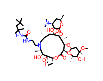 CC[C@H]1OC(=O)[C@H](C)[C@H](O[C@@H]2C[C@@](C)(OC)[C@@H](O)[C@H](C)O2)[C@@H](C)[C@H](O[C@@H]2O[C@H](C)C[C@H](N(C)C)[C@H]2O)[C@](C)(O)C[C@@H](C)CN(CCNC(=O)NC(C)(C)CC(C)(C)C)[C@H](C)[C@@H](O)[C@]1(C)O